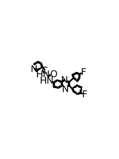 O=C(NCc1cccnc1)Nc1ccc2nc(-c3ccc(F)cc3)c(-c3ccc(F)cc3)nc2c1